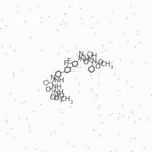 CC[C@H](NC(=O)OC)C(=O)N[C@H](c1nc2ccc(-c3ccc4c(c3)C(F)(F)c3cc(-c5cnc([C@@H]6CCCN6C(=O)[C@H](NC(=O)OC)c6ccccc6)[nH]5)ccc3-4)cc2[nH]1)C1CCCC1